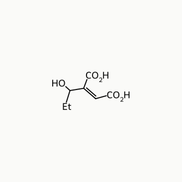 CCC(O)C(=CC(=O)O)C(=O)O